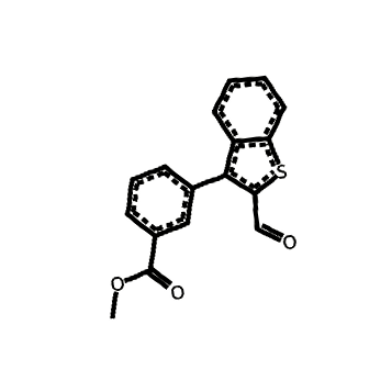 COC(=O)c1cccc(-c2c(C=O)sc3ccccc23)c1